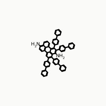 Nc1ccc2c3cc(-c4ccc(-c5ccccc5)cc4)c(-c4ccc(-c5ccccc5)cc4)c4c(N)c(-c5ccc(-c6ccccc6)cc5)c(-c5ccc(-c6ccccc6)cc5)c(c5cccc1c25)c43